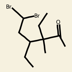 CCC(CC(Br)Br)C(C)(CC)C(C)=O